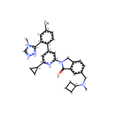 CN(Cc1ccc2c(c1)C(=O)N(c1cc(-c3ccc(C#N)cc3-c3nncn3C)cc(C3CC3)n1)C2)C1CCC1